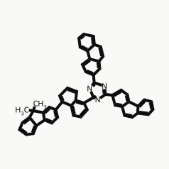 CC1(C)c2ccccc2-c2ccc(-c3cccc4c(-c5nc(-c6ccc7c(ccc8ccccc87)c6)nc(-c6ccc7c(ccc8ccccc87)c6)n5)cccc34)cc21